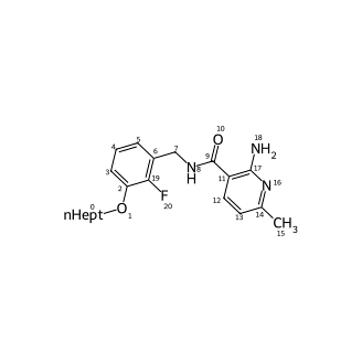 CCCCCCCOc1cccc(CNC(=O)c2ccc(C)nc2N)c1F